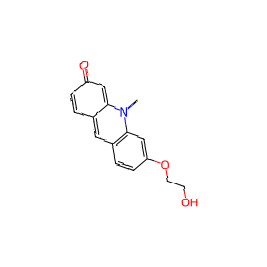 Cn1c2cc(=O)ccc-2cc2ccc(OCCO)cc21